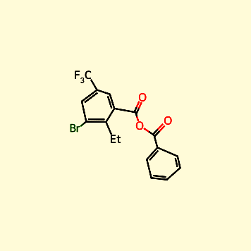 CCc1c(Br)cc(C(F)(F)F)cc1C(=O)OC(=O)c1ccccc1